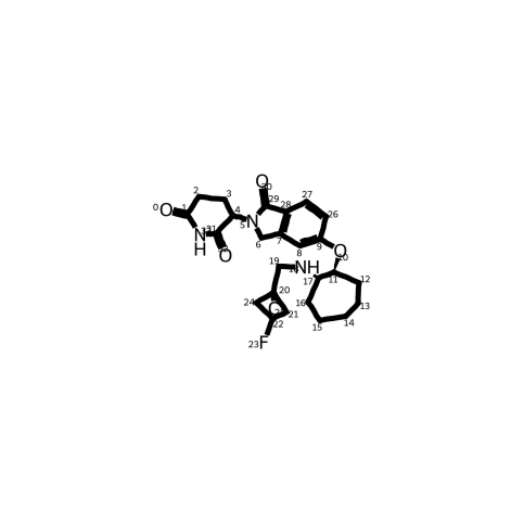 O=C1CCC(N2Cc3cc(O[C@H]4CCCCC[C@@H]4NCC45CC(F)(C4)C5)ccc3C2=O)C(=O)N1